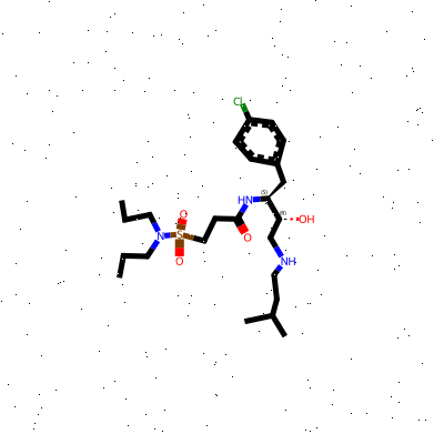 CCCN(CCC)S(=O)(=O)CCC(=O)N[C@@H](Cc1ccc(Cl)cc1)[C@H](O)CNCCC(C)C